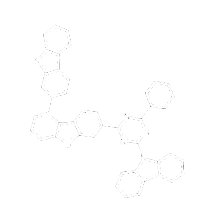 c1ccc(-c2nc(-c3ccc4c(c3)oc3cccc(-c5ccc6c(c5)sc5ccccc56)c34)nc(-n3c4ccccc4c4ccccc43)n2)cc1